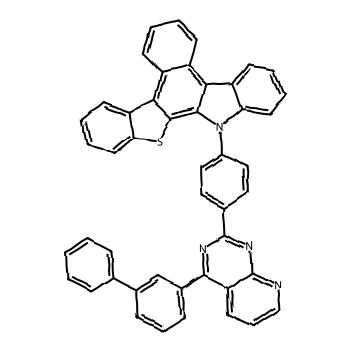 c1ccc(-c2cccc(-c3nc(-c4ccc(-n5c6ccccc6c6c7ccccc7c7c8ccccc8sc7c65)cc4)nc4ncccc34)c2)cc1